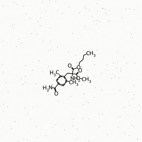 CCCCOC(=O)C(N)(Cc1c(C)cc(C(N)=O)cc1C)C(=O)OC